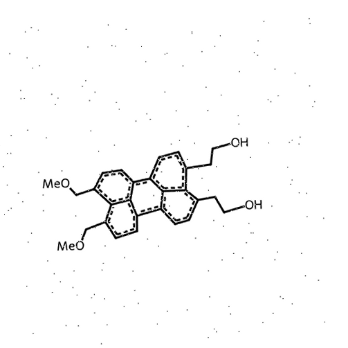 COCc1ccc2c3ccc(CCO)c4c(CCO)ccc(c5ccc(COC)c1c25)c43